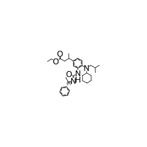 CCOC(=O)CC(C)c1ccc(N(CC(C)C)C2CCCCC2)c(NC2=N[C@H](c3ccccc3)CO2)c1